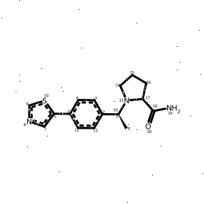 C[C@@H](c1ccc(-c2cncs2)cc1)N1CCCC1C(N)=O